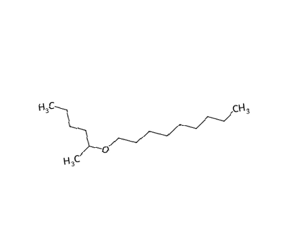 CCCCCCCCCOC(C)CCCC